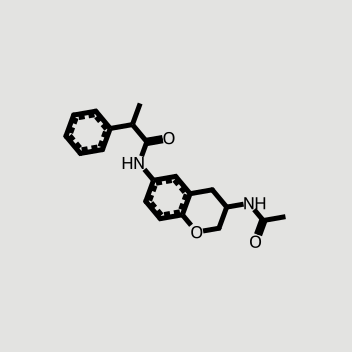 CC(=O)NC1COc2ccc(NC(=O)C(C)c3ccccc3)cc2C1